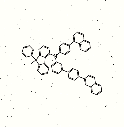 CC1(c2ccccc2)c2ccccc2-c2c(N(c3ccc(-c4cccc5ccccc45)cc3)c3cccc(-c4ccc(-c5ccc6ccccc6c5)cc4)c3)cccc21